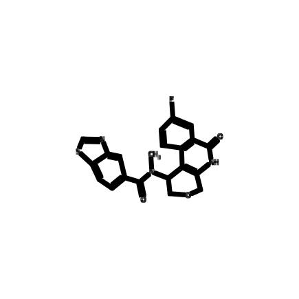 CN(C(=O)c1ccc2scnc2c1)C1COCc2[nH]c(=O)c3cc(F)ccc3c21